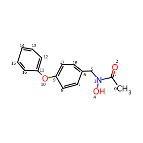 CC(=O)N(O)Cc1ccc(Oc2ccccc2)cc1